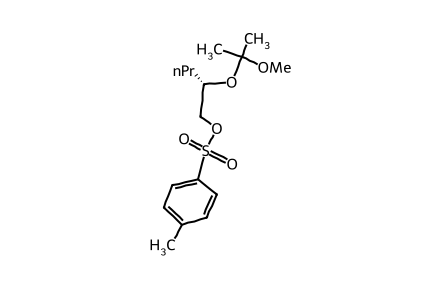 CCC[C@@H](COS(=O)(=O)c1ccc(C)cc1)OC(C)(C)OC